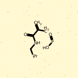 C=C(C)C(=O)NCC(C)C.O=PO